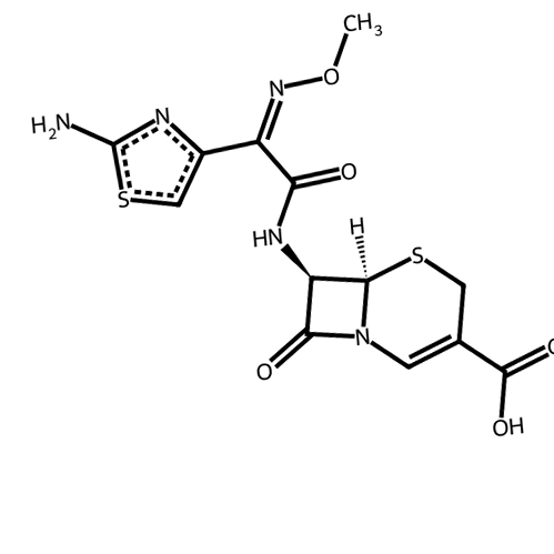 CO/N=C(\C(=O)N[C@@H]1C(=O)N2C=C(C(=O)O)CS[C@H]12)c1csc(N)n1